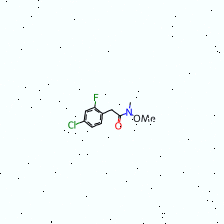 CON(C)C(=O)Cc1ccc(Cl)cc1F